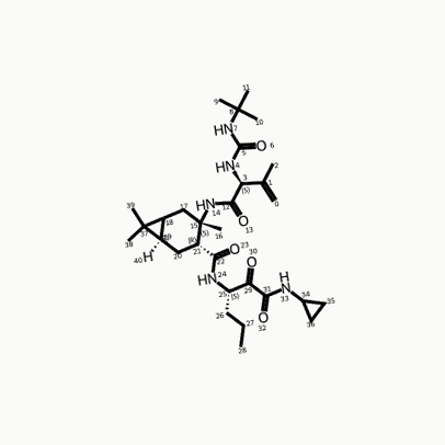 C=C(C)[C@H](NC(=O)NC(C)(C)C)C(=O)N[C@@]1(C)CC2[C@@H](C[C@H]1C(=O)N[C@@H](CCC)C(=O)C(=O)NC1CC1)C2(C)C